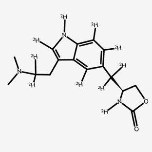 [2H]c1c(C([2H])([2H])[C@H]2COC(=O)N2[2H])c([2H])c2c(CC([2H])([2H])N(C)C)c([2H])n([2H])c2c1[2H]